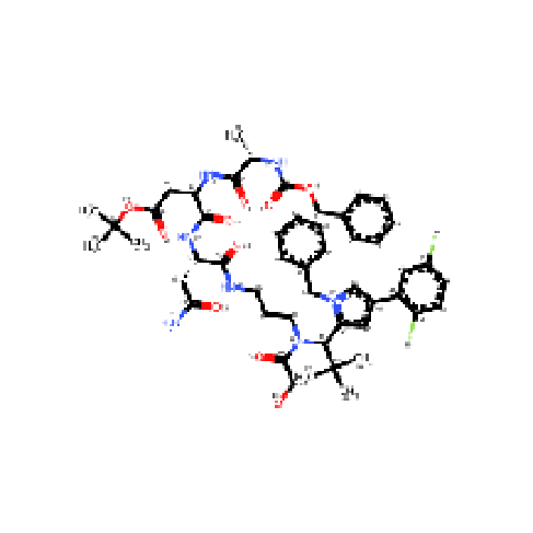 C[C@H](NC(=O)OCc1ccccc1)C(=O)N[C@H](CC(=O)OC(C)(C)C)C(=O)N[C@@H](CC(N)=O)C(=O)NCCCN(C(=O)CO)[C@@H](c1cc(-c2cc(F)ccc2F)cn1Cc1ccccc1)C(C)(C)C